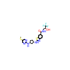 CSc1cnc(N[C@H]2CC[C@H](Nc3nc4ccc(C(=O)NCC(O)C(F)(F)F)cc4s3)C2)nc1